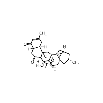 CC1=CC(=O)[C@H]2CC(=O)[C@H]3[C@@](C)(C[C@@]45OC(=O)C[C@]3(C)[C@]4(C)CC[C@]34C[C@@H](C)C[C@H](CN35)O4)[C@@H]2C1